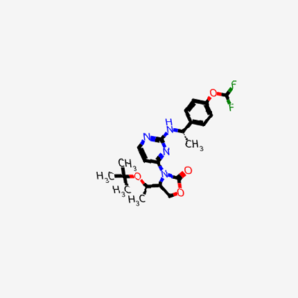 C[C@H](Nc1nccc(N2C(=O)OCC2[C@@H](C)OC(C)(C)C)n1)c1ccc(OC(F)F)cc1